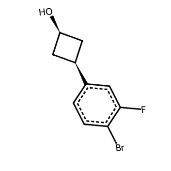 O[C@H]1C[C@@H](c2ccc(Br)c(F)c2)C1